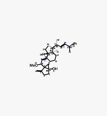 C=C1CC[C@@]2(O)CC12C(/C=C1\CCC[C@]2(C)[C@@H]([C@H](C)/C=C/[C@H](C)C(C)C)CC[C@@H]12)OC